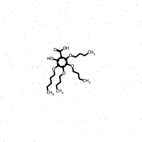 CCCCCOc1c(O)c(C(=O)O)c(OCCCC)c(OCCCC)c1OCCCC